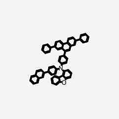 c1ccc(-c2ccc3c(c2)cc(-c2ccc(N(c4ccc(-c5ccc6ccccc6c5)cc4)c4cccc5oc6ccccc6c45)cc2)c2cc(-c4ccccc4)ccc23)cc1